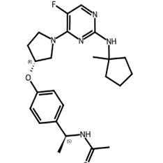 CC(=O)N[C@@H](C)c1ccc(O[C@@H]2CCN(c3nc(NC4(C)CCCC4)ncc3F)C2)cc1